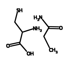 CCC(N)=O.NC(CS)C(=O)O